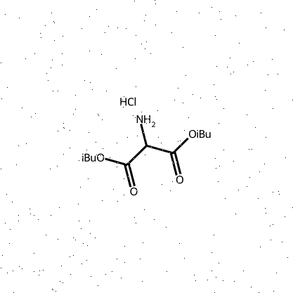 CC(C)COC(=O)C(N)C(=O)OCC(C)C.Cl